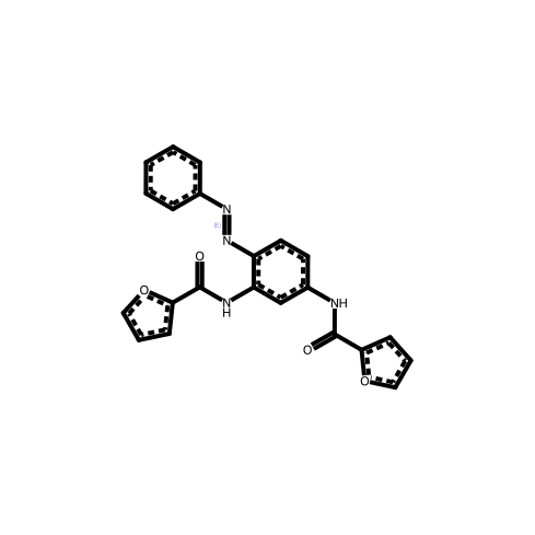 O=C(Nc1ccc(/N=N/c2ccccc2)c(NC(=O)c2ccco2)c1)c1ccco1